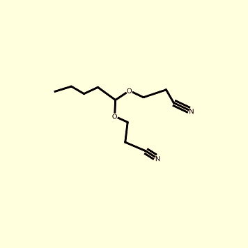 CCCCC(OCCC#N)OCCC#N